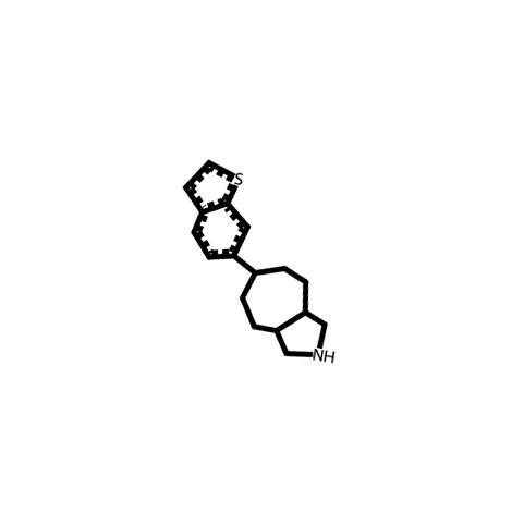 c1cc2ccc(C3CCC4CNCC4CC3)cc2s1